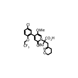 COc1cn(C(CC2=NOCCC2)(C(=O)O)C(C)(C)C)c(=O)cc1-c1cc(Cl)ccc1OCC(F)(F)F